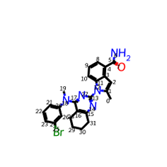 Cc1cc2c(C(N)=O)cccc2n1-c1nc2c(c(N(C)c3cccc(Br)c3)n1)CCCC2